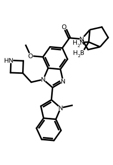 BC1(N)C2CCC1N(C(=O)c1cc(OC)c3c(c1)nc(-c1cc4ccccc4n1C)n3CC1CNC1)C2